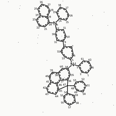 c1ccc(N(c2ccc(-c3ccc(N(c4ccccc4)c4cccc5ccccc45)cc3)cc2)c2cc3c4c(ccc5cccc(c54)C3(c3ccccc3)c3ccccc3)c2)cc1